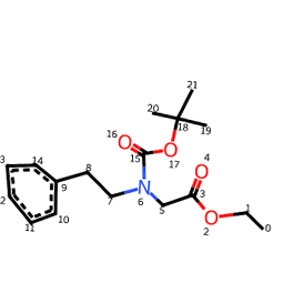 CCOC(=O)CN(CCc1ccccc1)C(=O)OC(C)(C)C